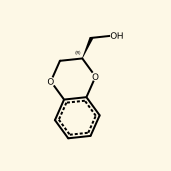 OC[C@@H]1COc2ccccc2O1